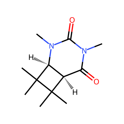 CN1C(=O)[C@@H]2[C@H](N(C)C1=O)C(C)(C)C2(C)C